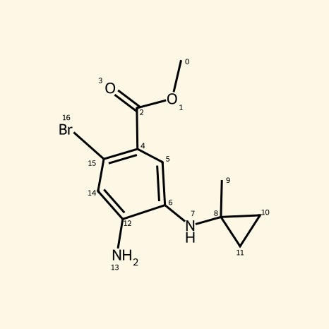 COC(=O)c1cc(NC2(C)CC2)c(N)cc1Br